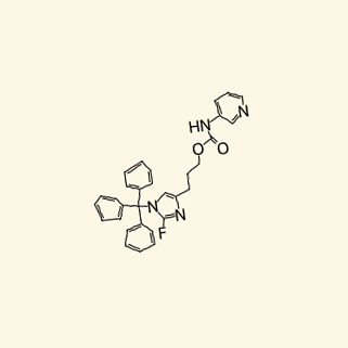 O=C(Nc1cccnc1)OCCCc1cn(C(c2ccccc2)(c2ccccc2)c2ccccc2)c(F)n1